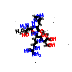 C[C@@H](O)[C@H](N)C(=O)N[C@@H](Cc1c[nH]cn1)C(=O)N[C@@H](CCCNC(=N)N)C(=O)N[C@@H](CO)C(=O)O